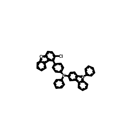 Clc1ccc2oc3ccccc3c2c1-c1ccc(N(c2ccccc2)c2ccc3c(c2)c2ccccc2n3-c2ccccc2)cc1